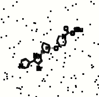 CC(C)(C)OC(=O)N1CCC(O[C@H]2CCC[C@@H](n3cc(Br)c(-c4ccncc4)n3)C2)CC1